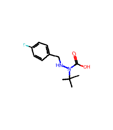 CC(C)(C)N(NCc1ccc(F)cc1)C(=O)O